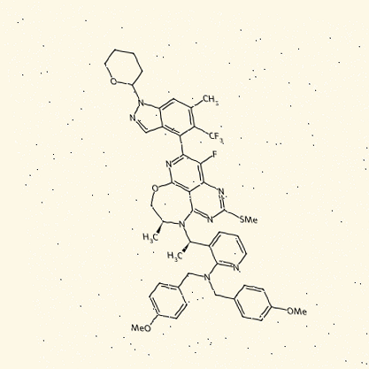 COc1ccc(CN(Cc2ccc(OC)cc2)c2ncccc2[C@@H](C)N2c3nc(SC)nc4c(F)c(-c5c(C(F)(F)F)c(C)cc6c5cnn6C5CCCCO5)nc(c34)OC[C@@H]2C)cc1